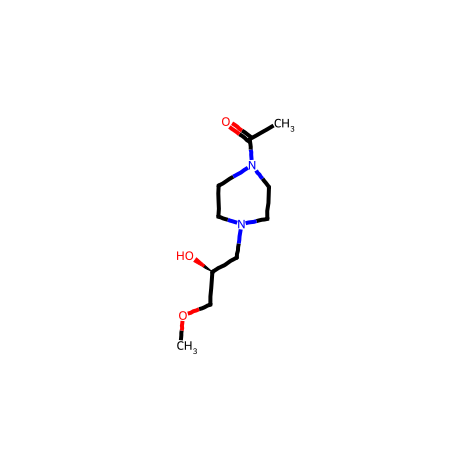 COC[C@@H](O)CN1CCN(C(C)=O)CC1